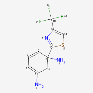 NC1=CC=CC(N)(c2nc(C(F)(F)F)cs2)C1